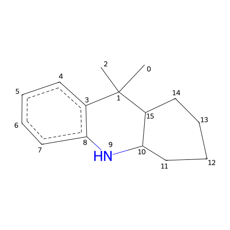 CC1(C)c2ccccc2NC2CCCCC21